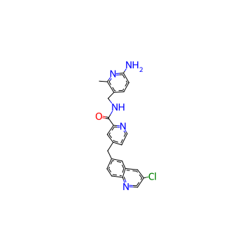 Cc1nc(N)ccc1CNC(=O)c1cc(Cc2ccc3ncc(Cl)cc3c2)ccn1